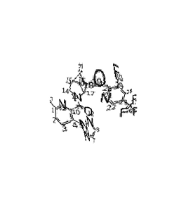 Cc1ccc(-n2nccn2)c(C(=O)N2CC3CC2[C@@H](Oc2ncc(C(F)(F)F)cc2F)C3)n1